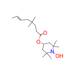 C/C=C/CC(C)(C)CCC(=O)OC1CC(C)(C)N(O)C(C)(C)C1